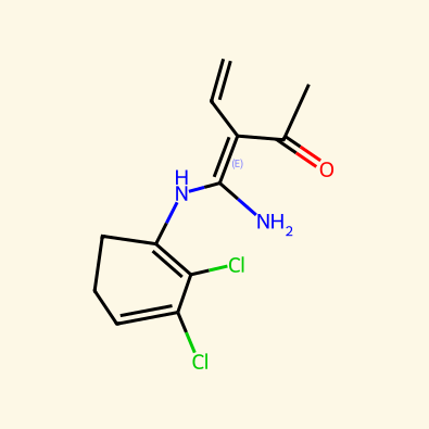 C=C/C(C(C)=O)=C(/N)NC1=C(Cl)C(Cl)=CCC1